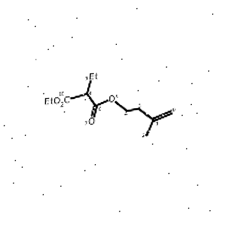 C=C(C)CCOC(=O)C(CC)C(=O)OCC